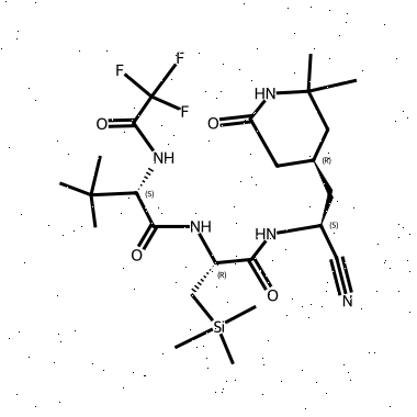 CC1(C)C[C@@H](C[C@@H](C#N)NC(=O)[C@H](C[Si](C)(C)C)NC(=O)[C@@H](NC(=O)C(F)(F)F)C(C)(C)C)CC(=O)N1